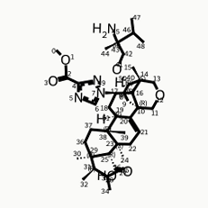 COC(=O)c1ncn([C@@H]2C[C@@]34COC[C@](C)([C@@H]3CC[C@H]3C4=CC[C@@]4(C)[C@H](C(=O)O)[C@@](C)([C@H](C)C(C)C)CC[C@]34C)[C@H]2OC[C@](C)(N)C(C)C)n1